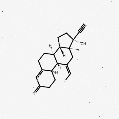 C#C[C@]1(O)CC[C@H]2[C@@H]3CCC4=CC(=O)CC[C@@H]4[C@H]3/C(=C\F)C[C@@]21C